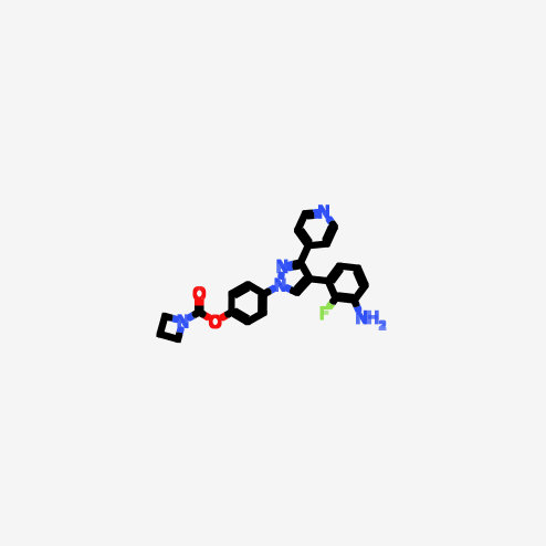 Nc1cccc(-c2cn(-c3ccc(OC(=O)N4CCC4)cc3)nc2-c2ccncc2)c1F